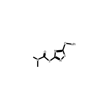 CCCOc1nc(SC(=O)N(C)C)ns1